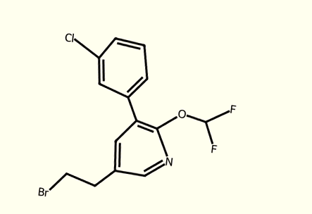 FC(F)Oc1ncc(CCBr)cc1-c1cccc(Cl)c1